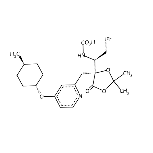 CC(C)C[C@H](NC(=O)O)[C@@]1(Cc2cc(O[C@H]3CC[C@H](C)CC3)ccn2)OC(C)(C)OC1=O